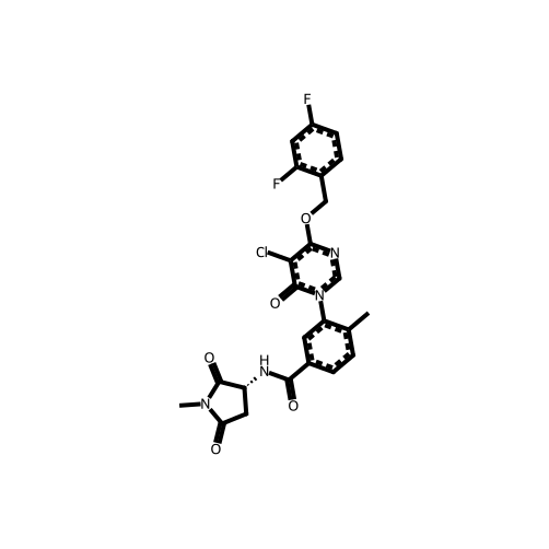 Cc1ccc(C(=O)N[C@@H]2CC(=O)N(C)C2=O)cc1-n1cnc(OCc2ccc(F)cc2F)c(Cl)c1=O